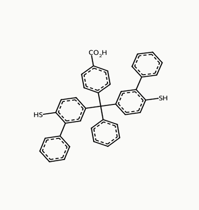 O=C(O)c1ccc(C(c2ccccc2)(c2ccc(S)c(-c3ccccc3)c2)c2ccc(S)c(-c3ccccc3)c2)cc1